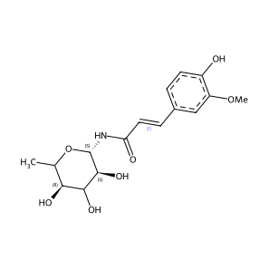 COc1cc(/C=C/C(=O)N[C@H]2OC(C)[C@H](O)C(O)[C@@H]2O)ccc1O